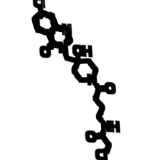 O=C(CCl)NCCCC(=O)N1CCC(O)(Cn2cnc3cc(Cl)ccc3c2=O)CC1